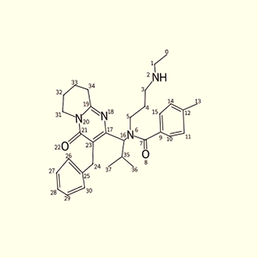 CCNCCCN(C(=O)c1ccc(C)cc1)C(c1nc2n(c(=O)c1Cc1ccccc1)CCCC2)C(C)C